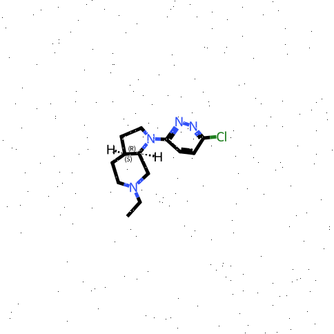 CCN1CC[C@H]2CCN(c3ccc(Cl)nn3)[C@H]2C1